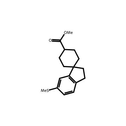 COC(=O)C1CCC2(CCc3ccc(SC)cc32)CC1